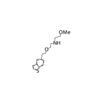 COCCNCCOCCc1ccc2sccc2c1